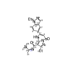 CCc1nn2c(=O)cc(-c3ccc4c(cnn4CC)c3)[nH]c2c1C(=O)/N=C(/C)N(C)C